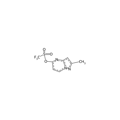 Cc1cc2nc(OS(=O)(=O)C(F)(F)F)ccn2n1